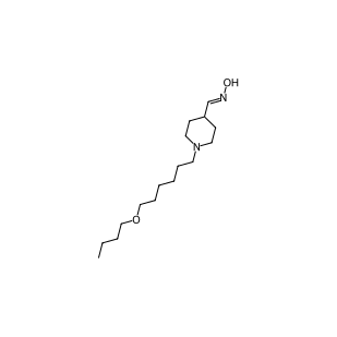 CCCCOCCCCCCN1CCC(C=NO)CC1